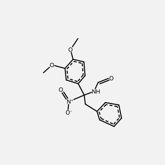 COc1ccc(C(Cc2ccccc2)(NC=O)[N+](=O)[O-])cc1OC